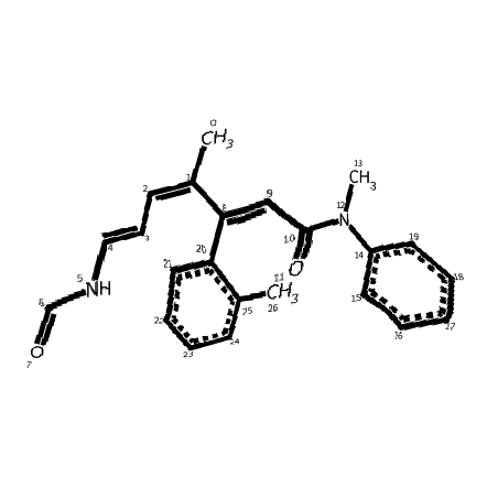 CC(=C/C=C/NC=O)/C(=C/C(=O)N(C)c1ccccc1)c1ccccc1C